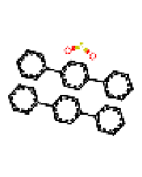 O=S=O.c1ccc(-c2ccc(-c3ccccc3)cc2)cc1.c1ccc(-c2ccc(-c3ccccc3)cc2)cc1